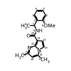 COc1ccccc1C(C)NC(=O)c1ccn2c(C)cc(C)nc12